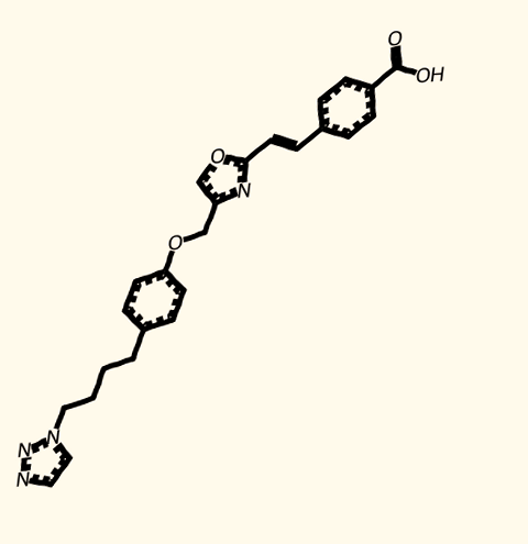 O=C(O)c1ccc(C=Cc2nc(COc3ccc(CCCCn4ccnn4)cc3)co2)cc1